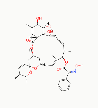 CO/N=C(\C(=O)O[C@H]1/C(C)=C/C[C@@H]2C[C@@H](C[C@]3(C=C[C@H](C)[C@@H](C)O3)O2)OC(=O)[C@@H]2C=C(C)[C@@H](O)[C@H]3OC/C(=C\C=C\[C@@H]1C)[C@]32O)c1ccccc1